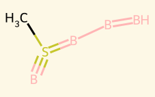 B#S(C)=BB=B